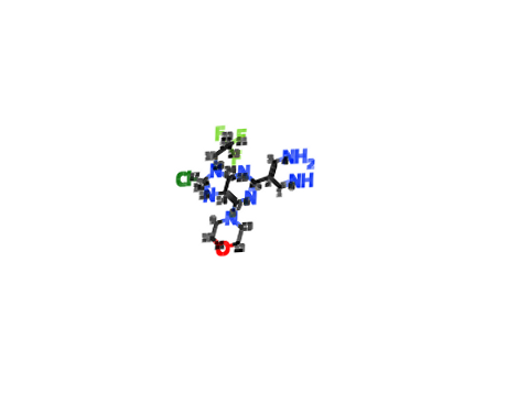 N=C/C(=C\N)c1nc(N2CCOCC2)c2nc(Cl)n(CC(F)(F)F)c2n1